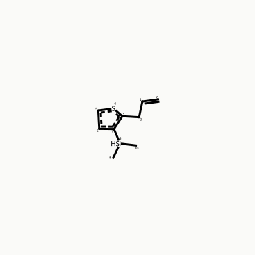 C=CCc1sccc1[SiH](C)C